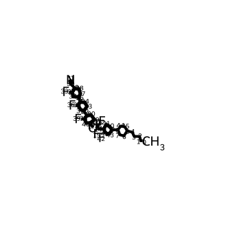 CCCCCC1CCC(c2cc(F)c(C(F)(F)Oc3ccc(-c4ccc(-c5ccc(C#N)c(F)c5)c(F)c4)c(F)c3)c(F)c2)CC1